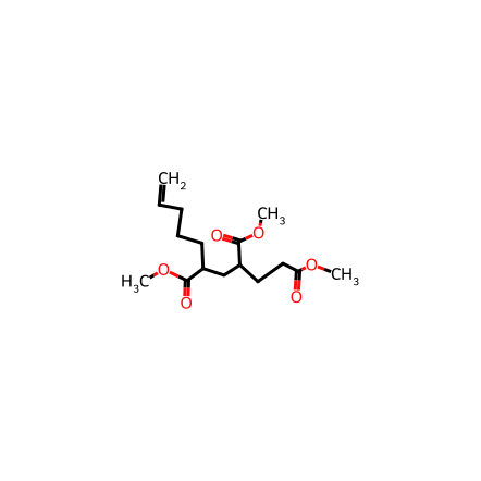 C=CCCCC(CC(CCC(=O)OC)C(=O)OC)C(=O)OC